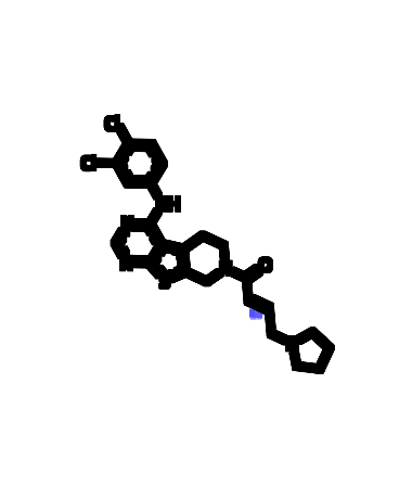 O=C(/C=C/CN1CCCC1)N1CCc2c(sc3ncnc(Nc4ccc(Cl)c(Cl)c4)c23)C1